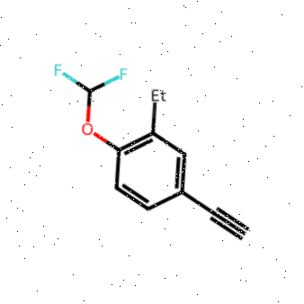 C#Cc1ccc(OC(F)F)c(CC)c1